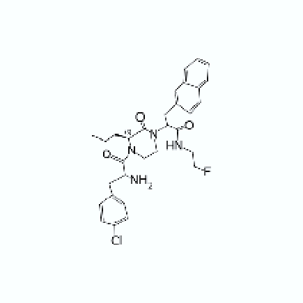 CCC[C@H]1C(=O)N(C(Cc2ccc3ccccc3c2)C(=O)NCCF)CCN1C(=O)C(N)Cc1ccc(Cl)cc1